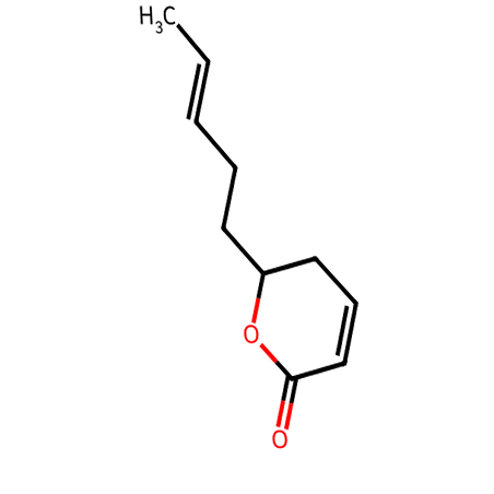 C/C=C/CCC1CC=CC(=O)O1